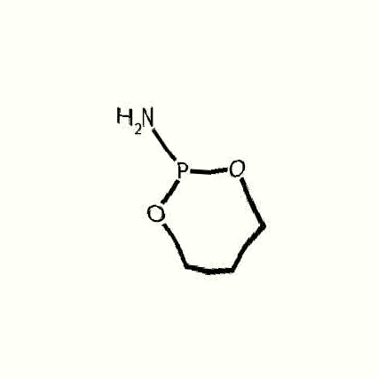 NP1OCCCO1